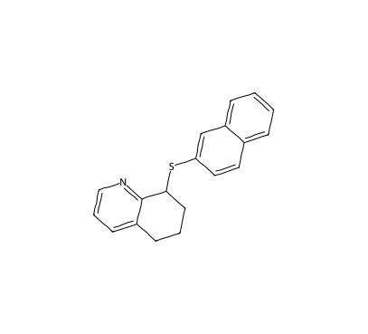 c1cnc2c(c1)CCCC2Sc1ccc2ccccc2c1